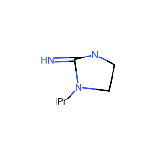 CC(C)N1CC[N]C1=N